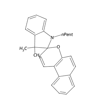 CCCCCN1c2ccccc2C(C)(C)C12C=Cc1c(ccc3ccccc13)O2